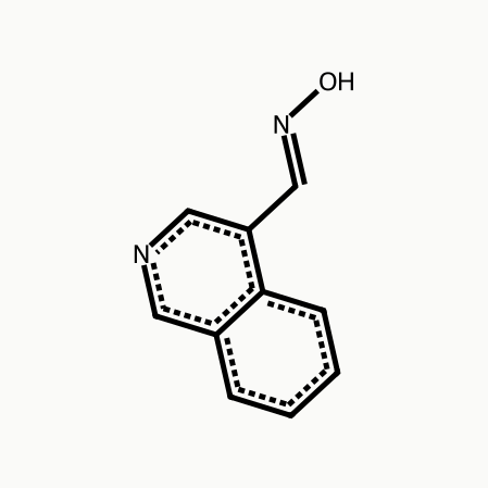 ON=Cc1cncc2ccccc12